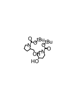 CC(C)(C)OC(=O)N1CCC(O)CC1.CC(C)(C)OC(=O)N1CCCC1CO